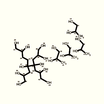 CC(O)CO.CC(O)CO.CC(O)CO.CC(O)CO.OCC(O)CCC(O)(CC(O)CO)C(O)(CC(O)CO)CC(O)CO